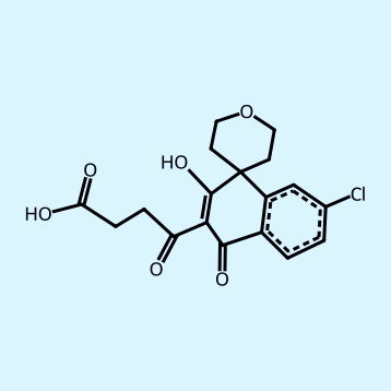 O=C(O)CCC(=O)C1=C(O)C2(CCOCC2)c2cc(Cl)ccc2C1=O